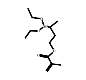 C=C(C)C(=O)OCCC(C)[SiH](OCC)OCC